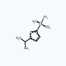 CC(N)c1cc[c]([Ge]([CH3])([CH3])[CH3])s1